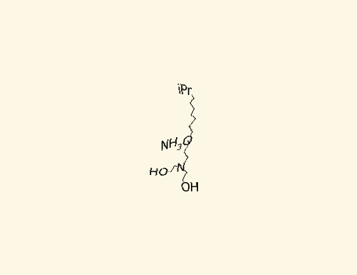 CC(C)CCCCCCCOCCCN(CCO)CCO.N